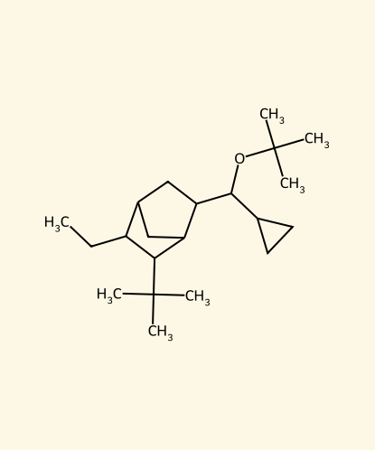 CCC1C2CC(C(OC(C)(C)C)C3CC3)C(C2)C1C(C)(C)C